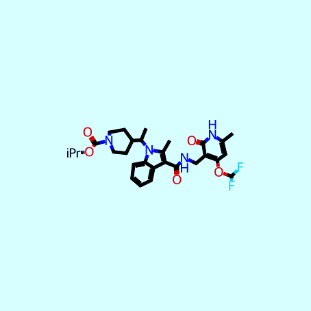 Cc1cc(OC(F)F)c(CNC(=O)c2c(C)n(C(C)C3CCN(C(=O)OC(C)C)CC3)c3ccccc23)c(=O)[nH]1